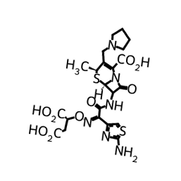 C[C@@H]1S[C@@H]2C(NC(=O)/C(=N\O[C@@H](CC(=O)O)C(=O)O)c3csc(N)n3)C(=O)N2C(C(=O)O)=C1CN1CCCC1